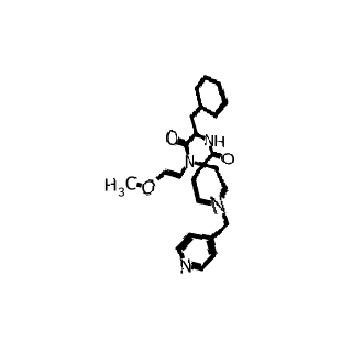 COCCN1C(=O)C(CC2CCCCC2)NC(=O)C12CCN(Cc1ccncc1)CC2